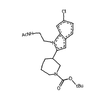 CC(=O)NCCn1c(C2CCCN(C(=O)OC(C)(C)C)C2)cc2ccc(Cl)cc21